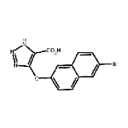 O=C(O)c1[nH]nnc1Oc1ccc2cc(Br)ccc2c1